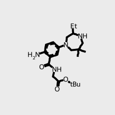 CCC1CN(c2ccc(N)c(C(=O)NCC(=O)OC(C)(C)C)c2)CC(C)(C)CN1